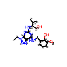 CCn1nnc2c(NCc3cccc(OC)c3O)nc(NC(CO)C(C)C)nc21